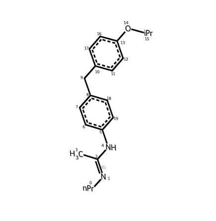 CCC/N=C(\C)Nc1ccc(Cc2ccc(OC(C)C)cc2)cc1